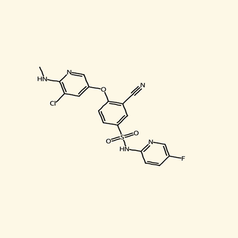 CNc1ncc(Oc2ccc(S(=O)(=O)Nc3ccc(F)cn3)cc2C#N)cc1Cl